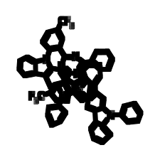 FC(F)(F)c1ccc(-n2c3ccccc3c3cc4c(cc32)c2ccccc2n4-c2ccccc2)c(-c2nc(-c3ccccc3)nc(-c3cc(C(F)(F)F)ccc3-n3c4ccccc4c4cc5c(cc43)c3ccccc3n5-c3ccccc3)n2)c1